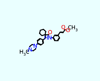 COC(=O)/C=C/c1cccc(NC(=O)C2(Cc3ccc(N4CCN(C)CC4)cc3)CCCCC2)c1